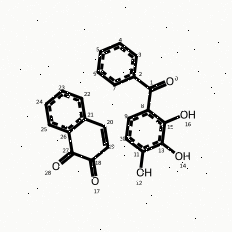 O=C(c1ccccc1)c1ccc(O)c(O)c1O.O=C1C=Cc2ccccc2C1=O